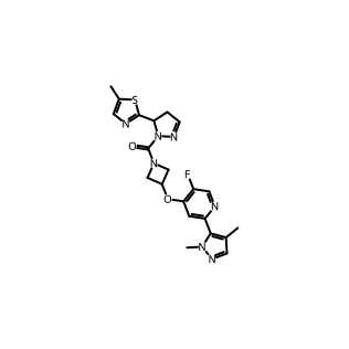 Cc1cnc(C2CC=NN2C(=O)N2CC(Oc3cc(-c4c(C)cnn4C)ncc3F)C2)s1